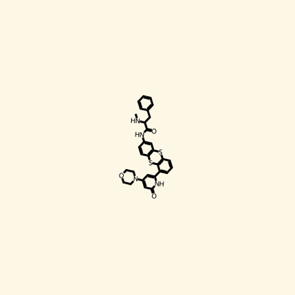 CNC(Cc1ccccc1)C(=O)Nc1ccc2c(c1)Sc1cccc(-c3cc(N4CCOCC4)cc(=O)[nH]3)c1S2